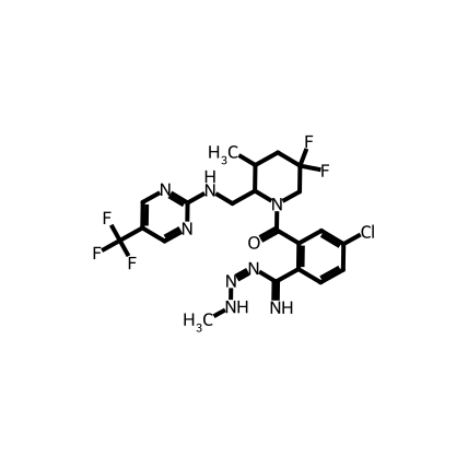 CN/N=N\C(=N)c1ccc(Cl)cc1C(=O)N1CC(F)(F)CC(C)C1CNc1ncc(C(F)(F)F)cn1